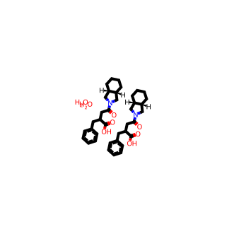 O.O.O=C(O)C(CC(=O)N1C[C@H]2CCCC[C@H]2C1)Cc1ccccc1.O=C(O)C(CC(=O)N1C[C@H]2CCCC[C@H]2C1)Cc1ccccc1